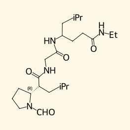 CCNC(=O)CCC(CC(C)C)NC(=O)CNC(=O)C(CC(C)C)[C@H]1CCCN1C=O